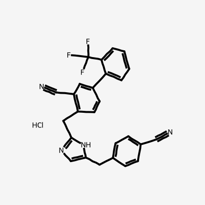 Cl.N#Cc1ccc(Cc2cnc(Cc3ccc(-c4ccccc4C(F)(F)F)cc3C#N)[nH]2)cc1